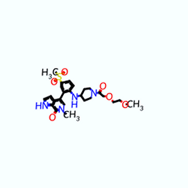 COCCOCC(=O)N1CCC(Nc2ccc(S(C)(=O)=O)cc2-c2cn(C)c(=O)c3[nH]ccc23)CC1